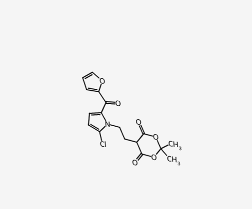 CC1(C)OC(=O)C(CCn2c(Cl)ccc2C(=O)c2ccco2)C(=O)O1